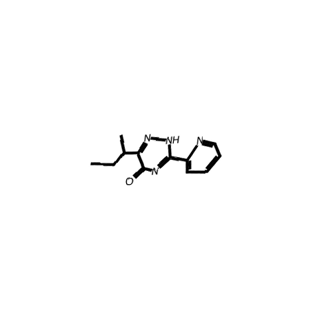 CCC(C)c1n[nH]c(-c2ccccn2)nc1=O